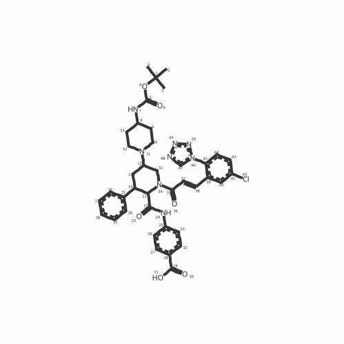 CC(C)(C)OC(=O)NC1CCN(C2CC(c3ccccc3)C(C(=O)Nc3ccc(C(=O)O)cc3)N(C(=O)C=Cc3cc(Cl)ccc3-n3cnnn3)C2)CC1